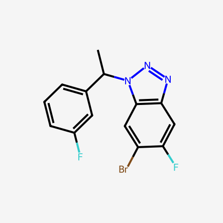 CC(c1cccc(F)c1)n1nnc2cc(F)c(Br)cc21